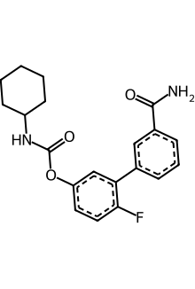 NC(=O)c1cccc(-c2cc(OC(=O)NC3CCCCC3)ccc2F)c1